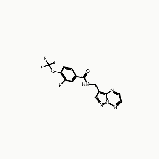 O=C(NCc1cnn2nccnc12)c1ccc(OC(F)(F)F)c(F)c1